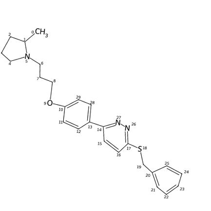 CC1CCCN1CCCOc1ccc(-c2ccc(SCc3ccccc3)nn2)cc1